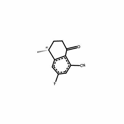 C[C@@H]1CCC(=O)c2c(C#N)cc(F)cc21